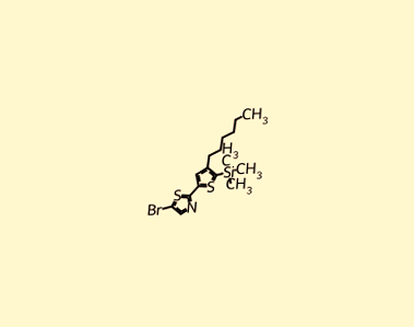 CCCCCCc1cc(-c2ncc(Br)s2)sc1[Si](C)(C)C